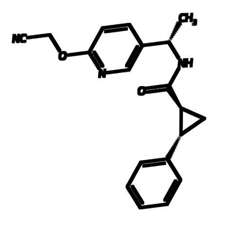 C[C@H](NC(=O)[C@H]1C[C@@H]1c1ccccc1)c1ccc(OCC#N)nc1